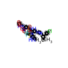 CC1(C)CCC(CN2CCN(c3ccc(C(=O)NS(=O)(=O)c4ccc(NC[C@@H]5COCCO5)c([N+](=O)[O-])c4)c(N4C[C@@H](C(F)(F)F)Sc5nc6[nH]ccc6cc54)c3)CC2)=C(c2ccc(Cl)cc2)C1